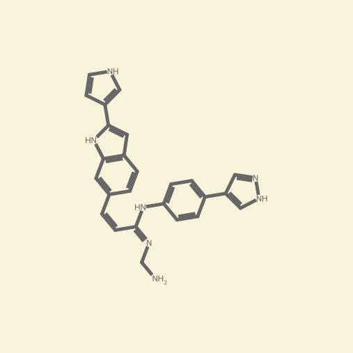 NC/N=C(\C=C/c1ccc2cc(-c3cc[nH]c3)[nH]c2c1)Nc1ccc(-c2cn[nH]c2)cc1